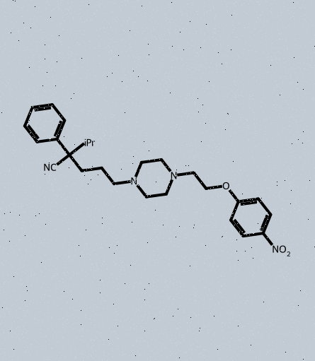 CC(C)C(C#N)(CCCN1CCN(CCOc2ccc([N+](=O)[O-])cc2)CC1)c1ccccc1